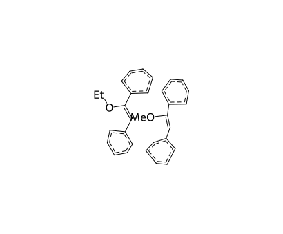 CCO/C(=C\c1ccccc1)c1ccccc1.CO/C(=C\c1ccccc1)c1ccccc1